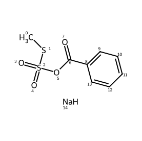 CSS(=O)(=O)OC(=O)c1ccccc1.[NaH]